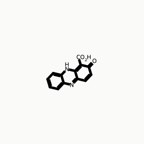 O=C(O)c1c2[nH]c3ccccc3nc-2ccc1=O